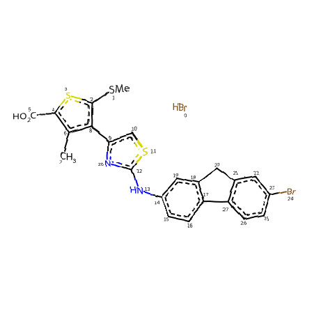 Br.CSc1sc(C(=O)O)c(C)c1-c1csc(Nc2ccc3c(c2)Cc2cc(Br)ccc2-3)n1